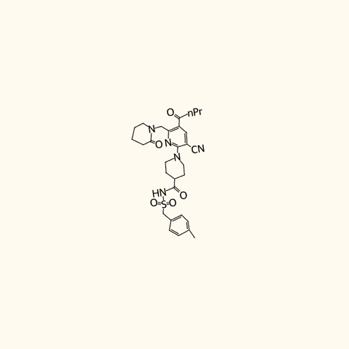 CCCC(=O)c1cc(C#N)c(N2CCC(C(=O)NS(=O)(=O)Cc3ccc(C)cc3)CC2)nc1CN1CCCCC1=O